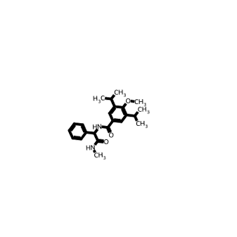 CNC(=O)C(NC(=O)c1cc(C(C)C)c(OC)c(C(C)C)c1)c1ccccc1